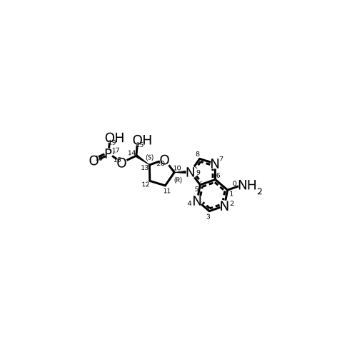 Nc1ncnc2c1ncn2[C@H]1CC[C@@H](C(O)O[P](=O)O)O1